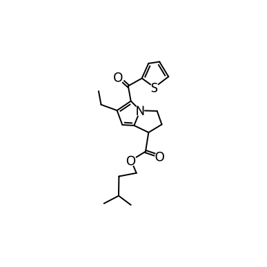 CCc1cc2n(c1C(=O)c1cccs1)CCC2C(=O)OCCC(C)C